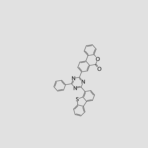 O=c1oc2ccccc2c2ccc(-c3nc(-c4ccccc4)nc(-c4cccc5c4sc4ccccc45)n3)cc12